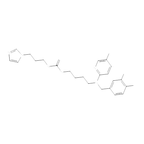 S=C(NCCCCN(Cc1ccc(Cl)c(Cl)c1)c1ccc(Br)cn1)NCCCn1ccnc1